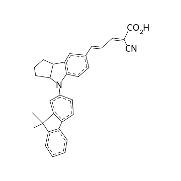 CC1(C)c2ccccc2-c2ccc(N3c4ccc(/C=C/C=C(\C#N)C(=O)O)cc4C4CCCC43)cc21